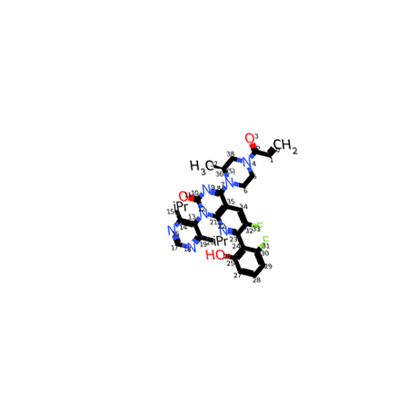 C=CC(=O)N1CCN(c2nc(=O)n(-c3c(C(C)C)ncnc3C(C)C)c3nc(-c4c(O)cccc4F)c(F)cc23)[C@@H](C)C1